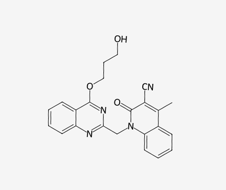 Cc1c(C#N)c(=O)n(Cc2nc(OCCCO)c3ccccc3n2)c2ccccc12